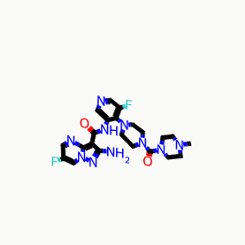 CN1CCN(C(=O)N2CCN(c3c(F)cncc3NC(=O)c3c(N)nn4cc(F)cnc34)CC2)CC1